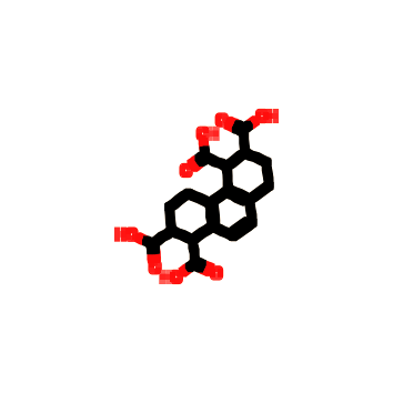 O=C(O)C1CCc2c(ccc3c2C(C(=O)O)C(C(=O)O)CC3)C1C(=O)O